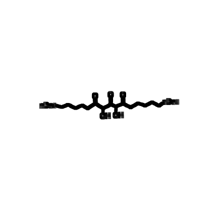 CCCCCCCCCCCCCCCC(=O)C(O)C(=O)C(O)C(=O)CCCCCCCCCCCCCCC